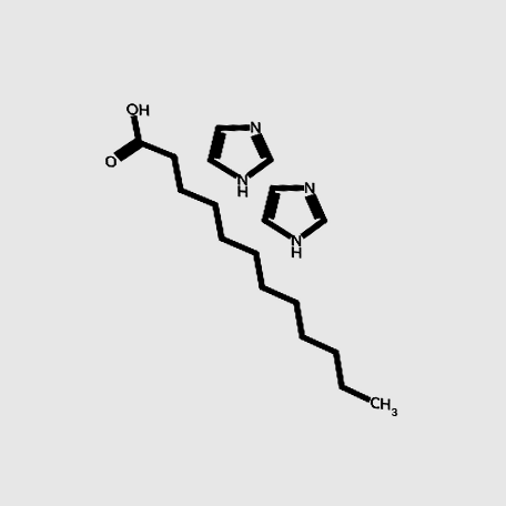 CCCCCCCCCCCC(=O)O.c1c[nH]cn1.c1c[nH]cn1